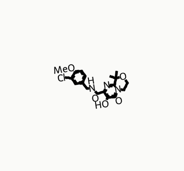 COc1ccc(CNC(=O)c2nc3n(c(=O)c2O)CCOC3(C)C)cc1Cl